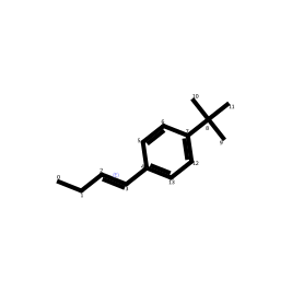 CC/C=C/c1ccc(C(C)(C)C)cc1